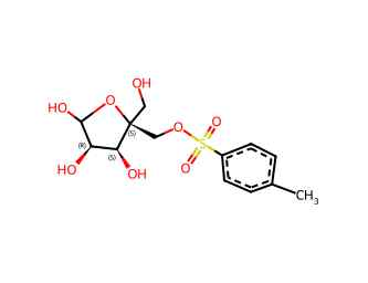 Cc1ccc(S(=O)(=O)OC[C@]2(CO)OC(O)[C@H](O)[C@@H]2O)cc1